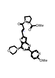 COC(=O)[C@@H]1CCCN1C(=O)/C=C/c1cc2nc(-c3ccc(OC)nc3)nc(N3CCOCC3)c2s1